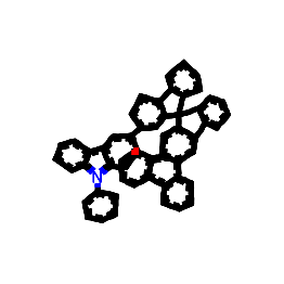 c1ccc(-n2c3ccccc3c3cc(-c4ccc5c(c4)C4(c6ccccc6-5)c5ccccc5-c5cc6c7ccccc7c7ccccc7c6cc54)ccc32)cc1